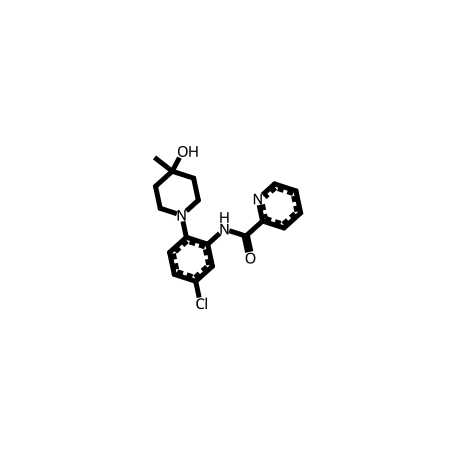 CC1(O)CCN(c2ccc(Cl)cc2NC(=O)c2ccccn2)CC1